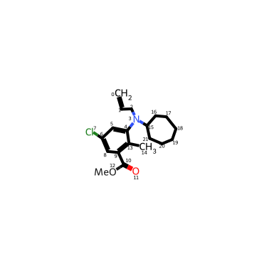 C=CCN(c1cc(Cl)cc(C(=O)OC)c1C)C1CCCCCC1